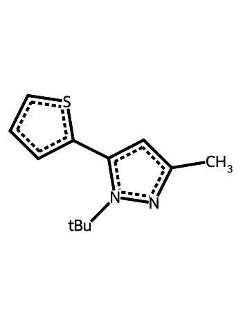 Cc1cc(-c2cccs2)n(C(C)(C)C)n1